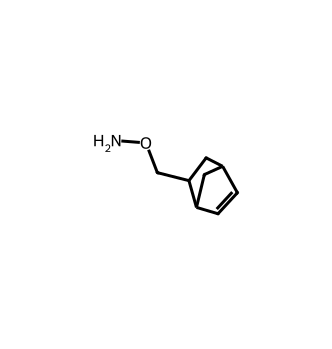 NOCC1CC2C=CC1C2